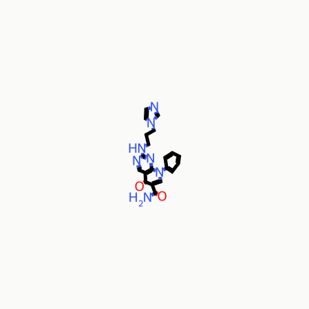 NC(=O)c1cn(-c2ccccc2)c2nc(NCCCn3ccnc3)ncc2c1=O